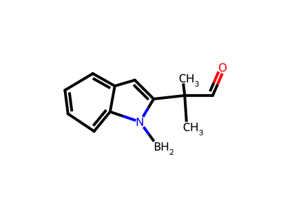 Bn1c(C(C)(C)C=O)cc2ccccc21